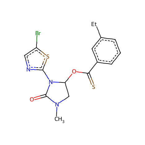 CCc1cccc(C(=S)OC2CN(C)C(=O)N2c2ncc(Br)s2)c1